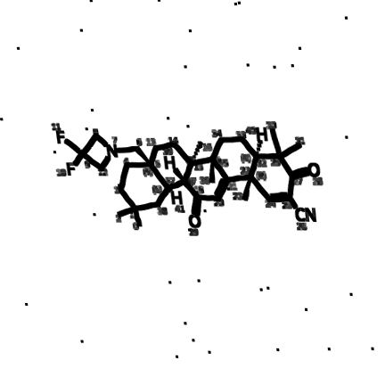 CC1(C)CC[C@]2(CN3CC(F)(F)C3)CC[C@]3(C)[C@H](C(=O)C=C4[C@@]5(C)C=C(C#N)C(=O)C(C)(C)[C@@H]5CC[C@]43C)[C@@H]2C1